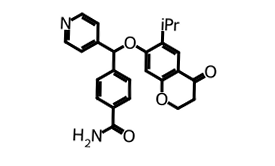 CC(C)c1cc2c(cc1OC(c1ccncc1)c1ccc(C(N)=O)cc1)OCCC2=O